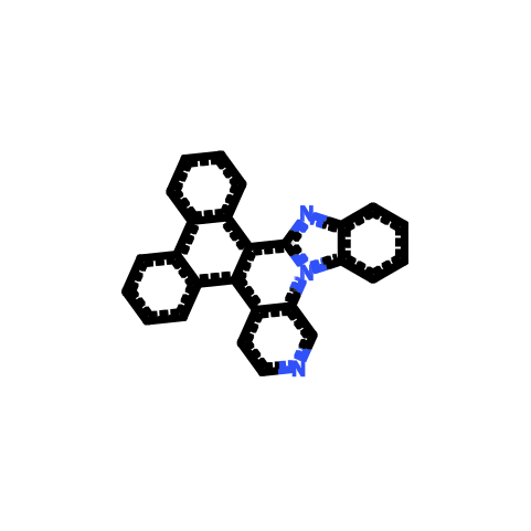 c1ccc2c(c1)nc1c3c4ccccc4c4ccccc4c3c3ccncc3n21